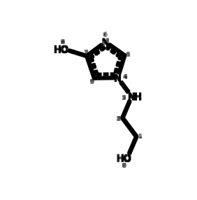 OCCNn1cnc(O)c1